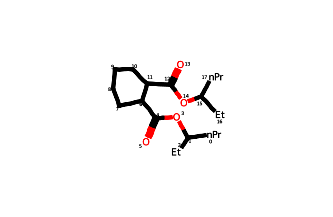 CCCC(CC)OC(=O)C1CCCCC1C(=O)OC(CC)CCC